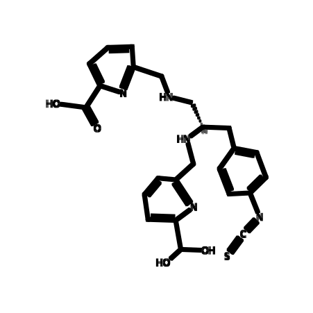 O=C(O)c1cccc(CNC[C@H](Cc2ccc(N=C=S)cc2)NCc2cccc(C(O)O)n2)n1